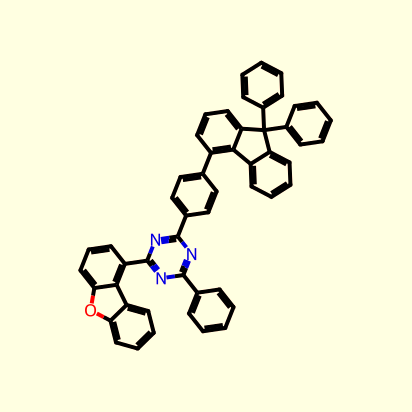 c1ccc(-c2nc(-c3ccc(-c4cccc5c4-c4ccccc4C5(c4ccccc4)c4ccccc4)cc3)nc(-c3cccc4oc5ccccc5c34)n2)cc1